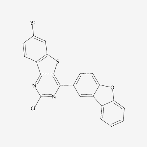 Clc1nc(-c2ccc3oc4ccccc4c3c2)c2sc3cc(Br)ccc3c2n1